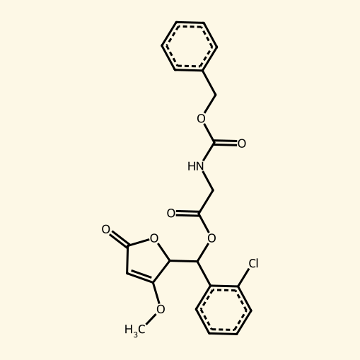 COC1=CC(=O)OC1C(OC(=O)CNC(=O)OCc1ccccc1)c1ccccc1Cl